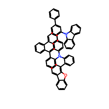 c1ccc(-c2ccc(-c3ccc(N(c4ccccc4-c4cc5ccccc5c5ccccc45)c4ccccc4-c4cccc5c4oc4ccccc45)cc3)c(-n3c4ccccc4c4ccccc43)c2)cc1